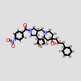 O=C(c1ccc([N+](=O)[O-])cc1)N1CC(CN2CCC(O)(CCCc3ccccc3)CC2)C(c2ccsc2)C1